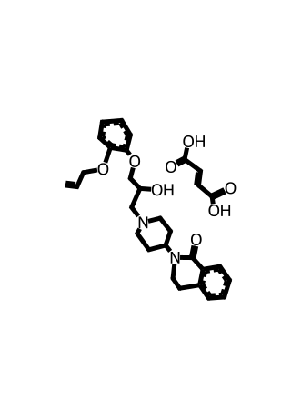 C=CCOc1ccccc1OCC(O)CN1CCC(N2CCc3ccccc3C2=O)CC1.O=C(O)/C=C/C(=O)O